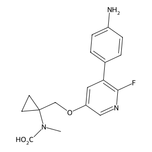 CN(C(=O)O)C1(COc2cnc(F)c(-c3ccc(N)cc3)c2)CC1